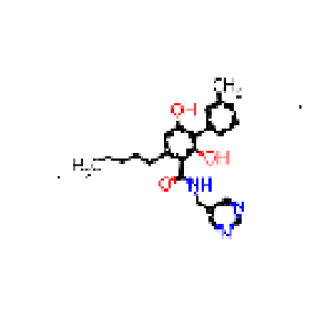 CCCCCc1cc(O)c(-c2cccc(C)c2)c(O)c1C(=O)NCc1cncnc1